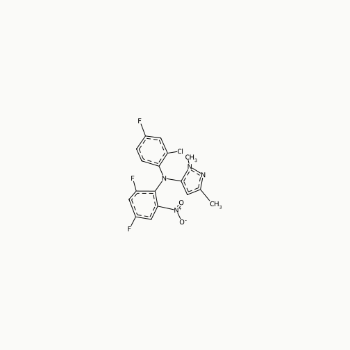 Cc1cc(N(c2ccc(F)cc2Cl)c2c(F)cc(F)cc2[N+](=O)[O-])n(C)n1